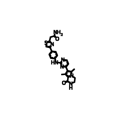 Cc1c(-c2ccnc(Nc3ccc(-c4csc(CC(N)=O)n4)cc3)n2)c(C)n2c1C(=O)NCC2